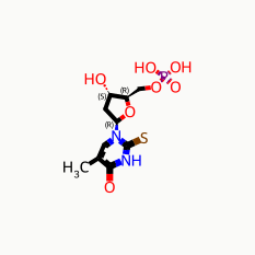 Cc1cn([C@H]2C[C@H](O)[C@@H](COP(=O)(O)O)O2)c(=S)[nH]c1=O